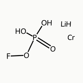 O=P(O)(O)OF.[Cr].[LiH]